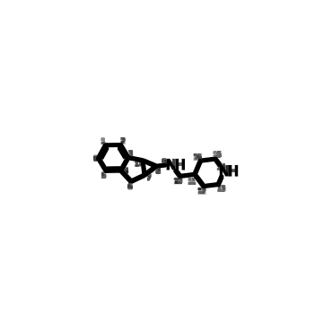 c1ccc2c(c1)CC1C(NCC3CCNCC3)C21